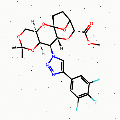 COC(=O)[C@@H]1O[C@@H]2[C@@H](n3cc(-c4cc(F)c(F)c(F)c4)nn3)[C@H]3OC(C)(C)OC[C@H]3O[C@@]23CCC1O3